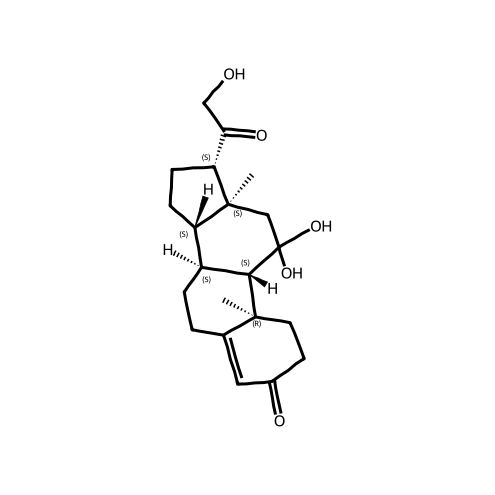 C[C@]12CC(O)(O)[C@H]3[C@@H](CCC4=CC(=O)CC[C@@]43C)[C@@H]1CC[C@@H]2C(=O)CO